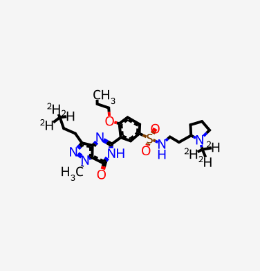 [2H]C([2H])([2H])CCc1nn(C)c2c(=O)[nH]c(-c3cc(S(=O)(=O)NCCC4CCCN4C([2H])([2H])[2H])ccc3OCCC)nc12